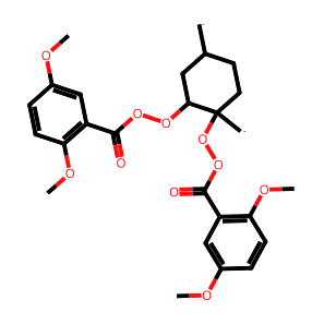 [CH2]C1CCC([CH2])(OOC(=O)c2cc(OC)ccc2OC)C(OOC(=O)c2cc(OC)ccc2OC)C1